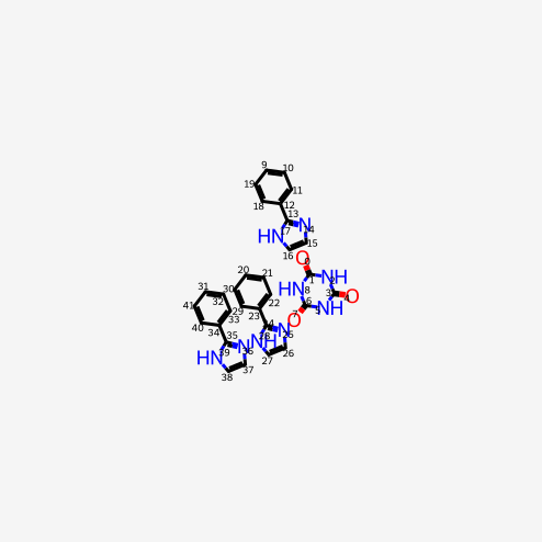 O=c1[nH]c(=O)[nH]c(=O)[nH]1.c1ccc(-c2ncc[nH]2)cc1.c1ccc(-c2ncc[nH]2)cc1.c1ccc(-c2ncc[nH]2)cc1